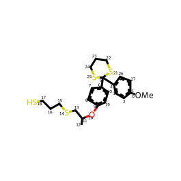 COc1ccc(C2(c3ccc(OC(C)CSCCCS)cc3)SCCCS2)cc1